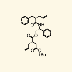 C=CC[C@H](Cc1ccccc1)C(=O)N[C@@H](COC(=O)[C@@H](CC=C)CC(=O)OC(C)(C)C)c1ccccc1